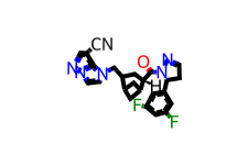 N#Cc1cnn2ccn(CC3C[C@H](C(=O)N4N=CCC4c4cc(F)cc(F)c4)C4CC3C4)c12